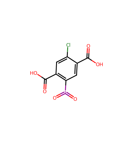 O=C(O)c1cc(I(=O)=O)c(C(=O)O)cc1Cl